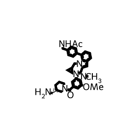 COc1cc(C(=O)N2CCC[C@@H](CN)C2)cc2nc(-c3cc4cccc(-c5ccc(CNC(C)=O)cc5)c4n3CC3CC3)n(C)c12